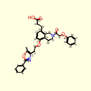 Cc1oc(-c2ccccc2)nc1CCOc1ccc(CCC(=O)O)c2c1CCN(C(=O)COc1ccccc1)C2